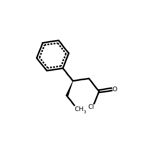 CC[C@H](CC(=O)Cl)c1ccccc1